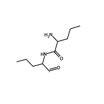 CCCC([C]=O)NC(=O)C(N)CCC